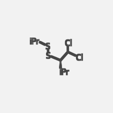 CC(C)SS[C@H](C(C)C)C(Cl)Cl